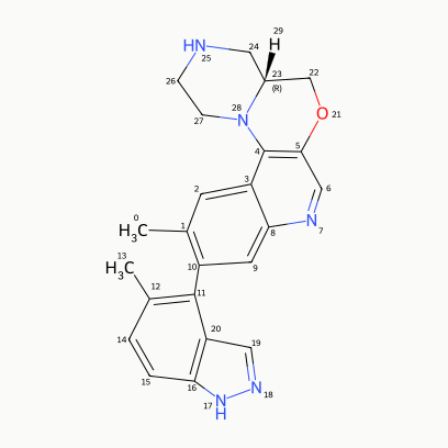 Cc1cc2c3c(cnc2cc1-c1c(C)ccc2[nH]ncc12)OC[C@H]1CNCCN31